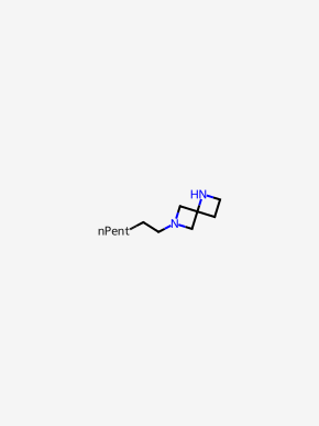 CCCCCCCN1CC2(CCN2)C1